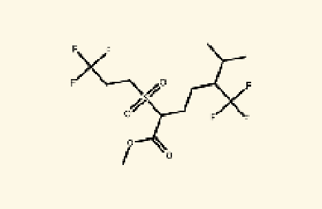 COC(=O)C(CCC(C(C)C)C(F)(F)F)S(=O)(=O)CCC(F)(F)F